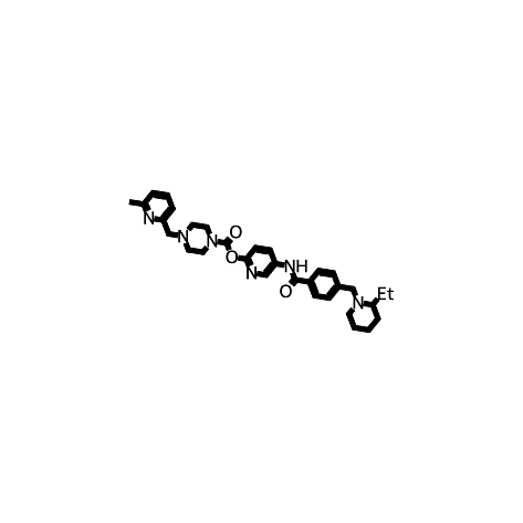 CCC1CCCCN1Cc1ccc(C(=O)Nc2ccc(OC(=O)N3CCN(Cc4cccc(C)n4)CC3)nc2)cc1